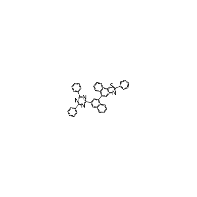 c1ccc(-c2nc(-c3ccccc3)nc(-c3cc(-c4cc5nc(-c6ccccc6)sc5c5ccccc45)c4ccccc4c3)n2)cc1